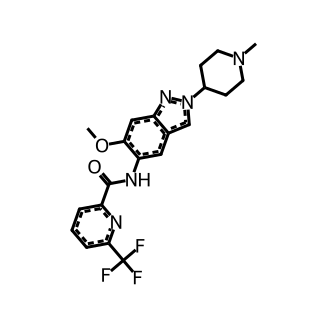 COc1cc2nn(C3CCN(C)CC3)cc2cc1NC(=O)c1cccc(C(F)(F)F)n1